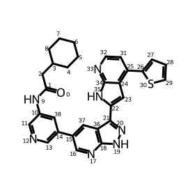 O=C(CC1CCCCC1)Nc1cncc(-c2cnc3[nH]nc(-c4cc5c(-c6cccs6)ccnc5[nH]4)c3c2)c1